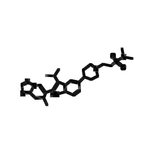 Cc1cc2ncnn2cc1-c1[nH]c2ccc(C3CCN(CCS(=O)(=O)N(C)C)CC3)cc2c1C(C)C